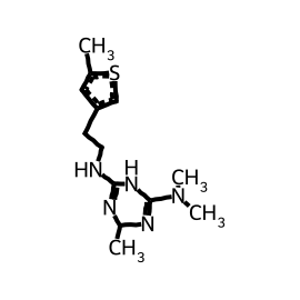 Cc1cc(CCNC2=NC(C)N=C(N(C)C)N2)cs1